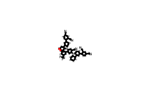 N#Cc1cc(-c2cc(-n3c4ccccc4c4cc(-c5ccc(C#N)cc5C#N)ccc43)c(C#N)cc2-n2c3ccccc3c3cc(-c4ccc(C#N)cc4C#N)ccc32)cc(C(F)(F)F)c1